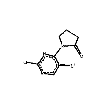 O=C1CCCN1c1nc(Cl)ncc1Cl